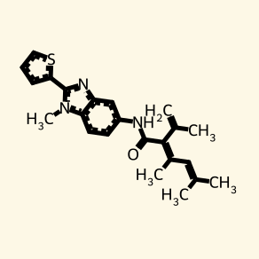 C=C(C)/C(C(=O)Nc1ccc2c(c1)nc(-c1cccs1)n2C)=C(/C)C=C(C)C